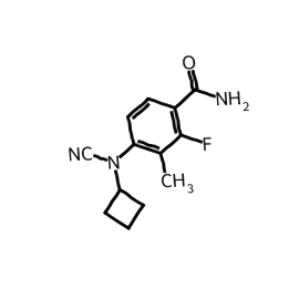 Cc1c(N(C#N)C2CCC2)ccc(C(N)=O)c1F